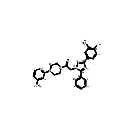 Cc1ccnc(N2CCN(C(=O)Cn3nc(-c4ccc(F)c(C)c4)nc3-c3ccccc3)CC2)c1